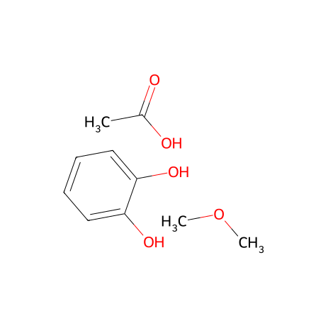 CC(=O)O.COC.Oc1ccccc1O